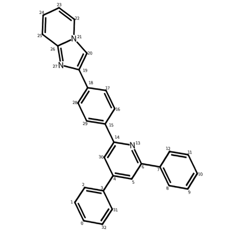 c1ccc(-c2cc(-c3ccccc3)nc(-c3ccc(-c4cn5ccccc5n4)cc3)c2)cc1